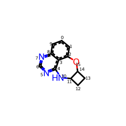 c1cc2c3c(ncnc3c1)NC1CCC1O2